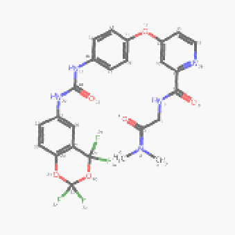 CN(C)C(=O)CNC(=O)c1cc(Oc2ccc(NC(=O)Nc3ccc4c(c3)C(F)(F)OC(F)(F)O4)cc2)ccn1